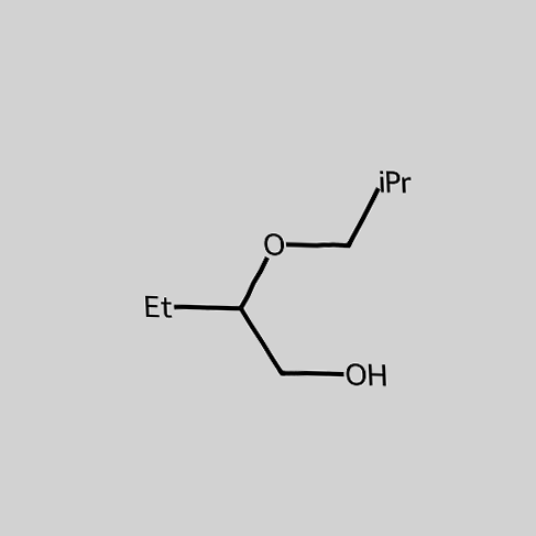 CCC(CO)OCC(C)C